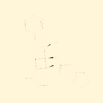 CO[C@H](Sc1cnccn1)[C@@]1(NC(=O)Cc2cccs2)C(=O)N2C(C(=O)O)=CCS[C@H]21